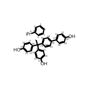 CC(C)c1ccccc1.CC(c1ccc(O)cc1)(c1ccc(O)cc1)c1ccc(-c2ccc(O)cc2)cc1